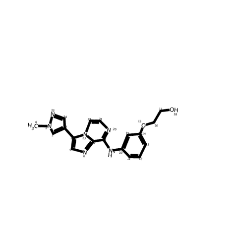 Cn1cc(-c2cnc3c(Nc4cccc(OCCO)c4)nccn23)cn1